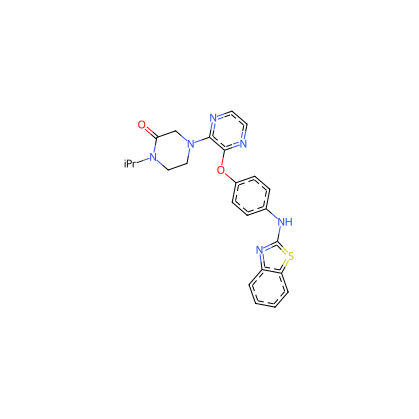 CC(C)N1CCN(c2nccnc2Oc2ccc(Nc3nc4ccccc4s3)cc2)CC1=O